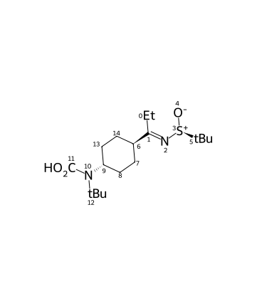 CC/C(=N\[S@@+]([O-])C(C)(C)C)[C@H]1CC[C@H](N(C(=O)O)C(C)(C)C)CC1